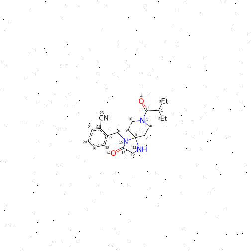 CCC(CC)C(=O)N1CCC2(CC1)NCC(=O)N2Cc1ccccc1C#N